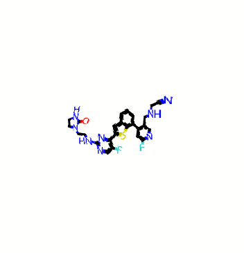 N#CCNCc1cnc(F)cc1-c1cccc2cc(-c3nc(NCCN4CCNC4=O)ncc3F)sc12